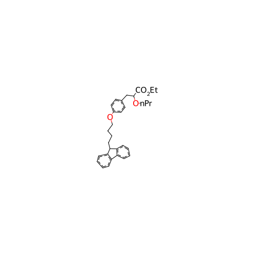 CCCOC(Cc1ccc(OCCCCC2c3ccccc3-c3ccccc32)cc1)C(=O)OCC